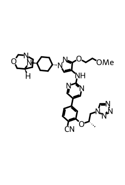 COCCOc1nn([C@H]2CC[C@H](N3[C@@H]4CCN3COC4)CC2)cc1Nc1ncc(-c2ccc(C#N)c(O[C@@H](C)Cn3cnnn3)c2)cn1